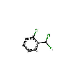 FC(Cl)c1ccccc1Cl